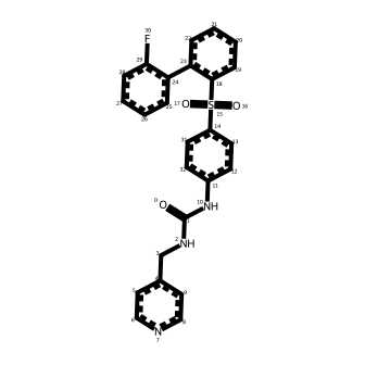 O=C(NCc1ccncc1)Nc1ccc(S(=O)(=O)c2ccccc2-c2ccccc2F)cc1